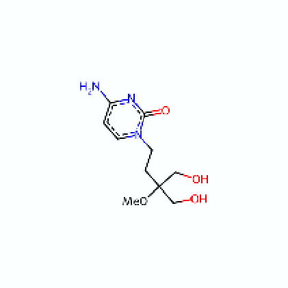 COC(CO)(CO)CCn1ccc(N)nc1=O